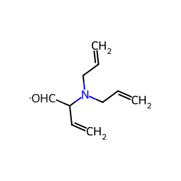 C=CCN(CC=C)C([C]=O)C=C